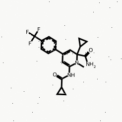 CN1C(NC(=O)C2CC2)=CC(c2ccc(C(F)(F)F)cc2)=CC1(C(N)=O)C1CC1